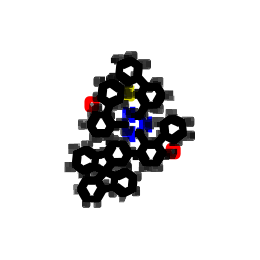 c1ccc2c(c1)-c1ccccc1C21c2ccccc2-c2ccc(-c3ccc4oc5ccccc5c4c3-c3nc(-c4cccc5c4sc4ccccc45)nc(-c4cccc5oc6ccccc6c45)n3)cc21